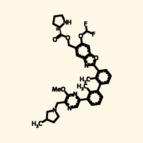 COc1nc(-c2cccc(-c3cccc(-c4nc5cc(COC(=O)[C@@H]6CCCN6)c(OC(F)F)cc5o4)c3C)c2C)cnc1CN1CCC(C)C1